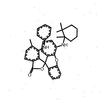 Cc1ccc2c(c1Nc1ccccc1)C1(OC2=O)c2ccccc2Oc2c(NC3(C)CCCCC3(C)C)cccc21